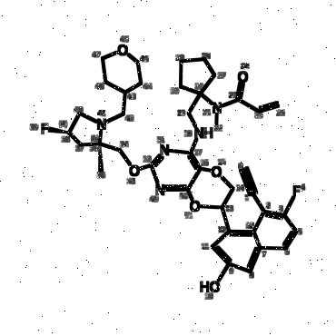 C#Cc1c(F)ccc2cc(O)cc(C3COc4c(NCC5(N(C)C(=O)C=C)CCCC5)nc(OC[C@]5(C)C[C@@H](F)CN5CC5CCOCC5)nc4O3)c12